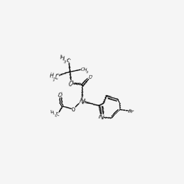 CC(=O)ON(C(=O)OC(C)(C)C)c1ccc(Br)cn1